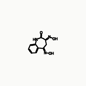 O=C1Nc2ccccc2C(=NO)CC1=NO